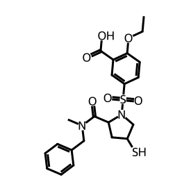 CCOc1ccc(S(=O)(=O)N2CC(S)CC2C(=O)N(C)Cc2ccccc2)cc1C(=O)O